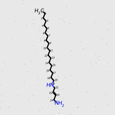 CCCCCCCCCCCCCCCCCCCCNCC=CCN